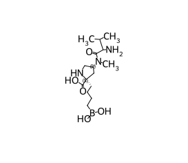 CC(C)C(N)C(=O)N(C)[C@H]1CN[C@](CCCCB(O)O)(C(=O)O)C1